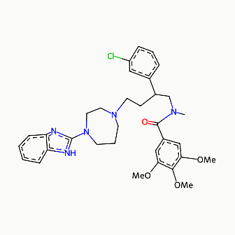 COc1cc(C(=O)N(C)CC(CCN2CCCN(c3nc4ccccc4[nH]3)CC2)c2cccc(Cl)c2)cc(OC)c1OC